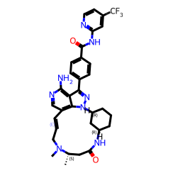 C[C@H]1CC(=O)N[C@@H]2CCC[C@H](C2)n2nc(-c3ccc(C(=O)Nc4cc(C(F)(F)F)ccn4)cc3)c3c(N)ncc(c32)/C=C/CN1C